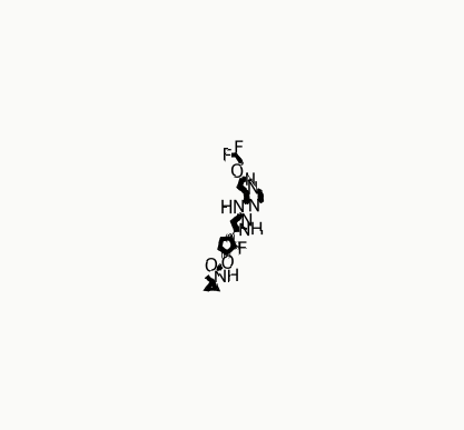 CC1(NC(=O)O[C@@H]2CC[C@H](c3cc(Nc4nccn5nc(OCC(F)F)cc45)n[nH]3)[C@@H]2F)CC1